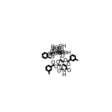 Cc1cccc(C(=O)OC(O[C@H](COP(=O)(O)OP(=O)(O)OP(=O)(O)OP(=O)(O)OCc2ccccc2)[C@@H](C)OC(=O)c2cccc(C)c2)n2ccc(=O)[nH]c2=O)c1